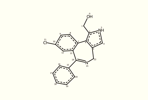 OCc1[nH]cc2c1-c1ccc(Cl)cc1C(c1ccccc1)=NC2